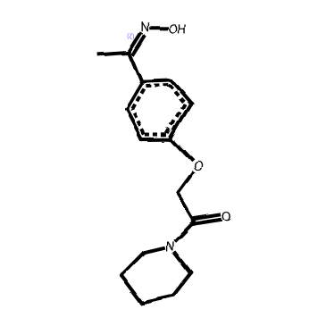 C/C(=N/O)c1ccc(OCC(=O)N2CCCCC2)cc1